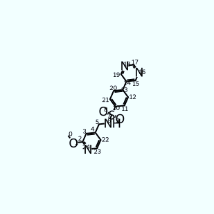 COc1cc(CNS(=O)(=O)c2ccc(-c3cncnc3)cc2)ccn1